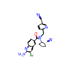 N#Cc1ccc(CN(C(=O)c2ccc3nc(N)c(Br)cc3c2)[C@@H]2CCC[C@H]2C#N)nc1